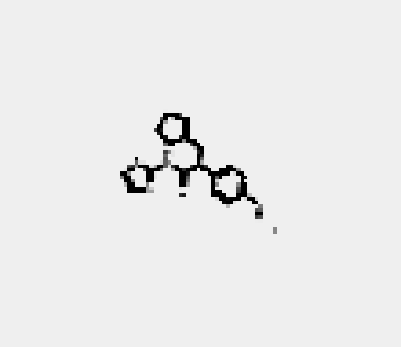 CSc1ccc(C(CC2CCCC2)C(=O)Nc2nccs2)cn1